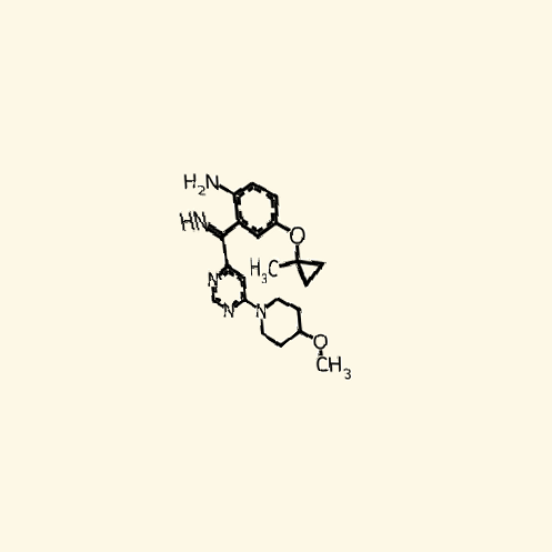 COC1CCN(c2cc(C(=N)c3cc(OC4(C)CC4)ccc3N)ncn2)CC1